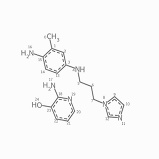 Cc1cc(NCCCn2ccnc2)ccc1N.Nc1ncccc1O